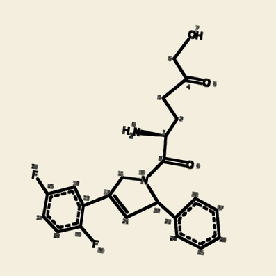 N[C@@H](CCC(=O)CO)C(=O)N1CC(c2cc(F)ccc2F)=CC1c1ccccc1